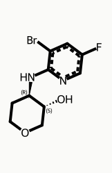 O[C@@H]1COCC[C@H]1Nc1ncc(F)cc1Br